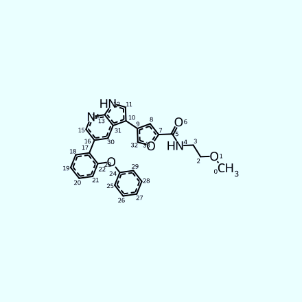 COCCNC(=O)c1cc(-c2c[nH]c3ncc(-c4ccccc4Oc4ccccc4)cc23)co1